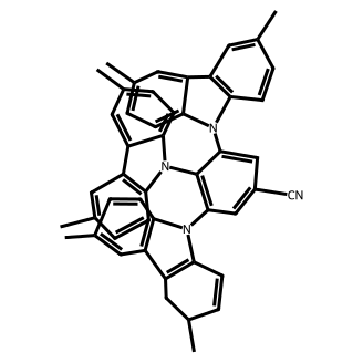 Cc1ccc2c(c1)c1c(n2-c2cc(C#N)cc(-n3c4ccc(C)cc4c4cc(C)ccc43)c2-n2c3ccc(C)cc3c3cc(C)ccc32)C=CC(C)C1